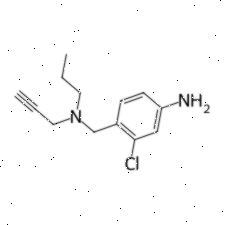 C#CCN(CCC)Cc1ccc(N)cc1Cl